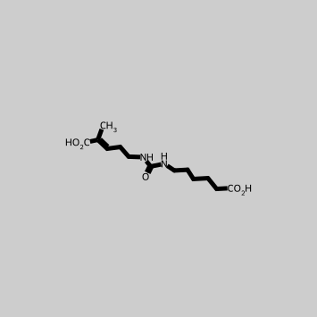 C/C(=C\CCNC(=O)NCCCCCC(=O)O)C(=O)O